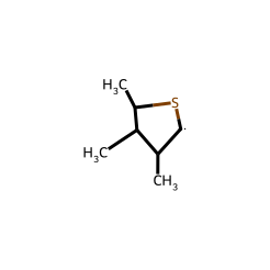 CC1[CH]SC(C)C1C